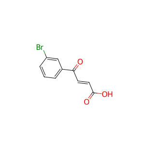 O=C(O)C=CC(=O)c1cccc(Br)c1